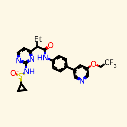 CCC(C(=O)Nc1ccc(-c2cncc(OCC(F)(F)F)c2)cc1)c1ccnc(N[S+]([O-])C2CC2)n1